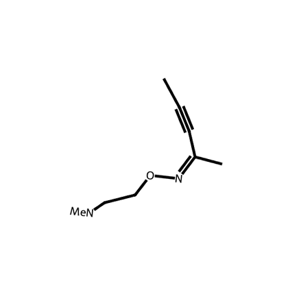 CC#C/C(C)=N\OCCNC